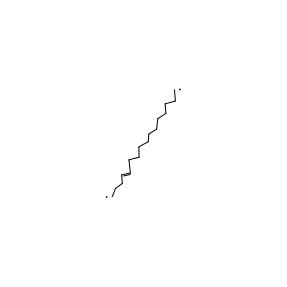 [CH2]CC/C=C/CCCCCCCCCC[CH2]